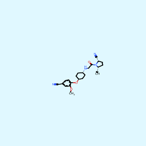 C#C[C@H]1CC[C@@H](C#N)N1C(=O)CN[C@H]1CC[C@H](Oc2ccc(C#N)cc2OC)CC1